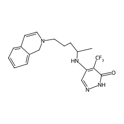 CC(CCCN1C=Cc2ccccc2C1)Nc1cn[nH]c(=O)c1C(F)(F)F